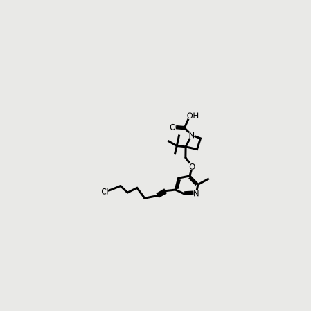 Cc1ncc(C#CCCCCCl)cc1OCC1(C(C)(C)C)CCN1C(=O)O